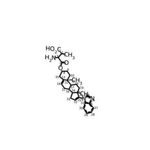 CC(C(=O)O)C(N)C(=O)O[C@H]1CC[C@@]2(C)C(=CCC3C2CC[C@]2(C)C(n4cnc5ccccc54)=CCC32)C1